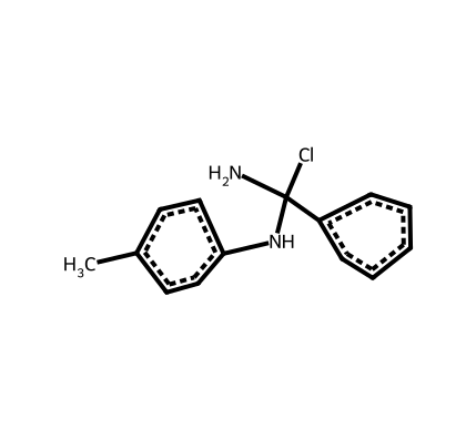 Cc1ccc(NC(N)(Cl)c2ccccc2)cc1